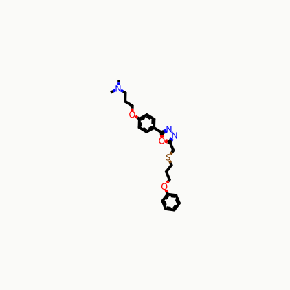 CN(C)CCCOc1ccc(-c2nnc(CSCCCOc3ccccc3)o2)cc1